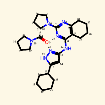 O=C([C@@H]1CCCN1c1nc2c(c(Nc3cc(C4CCCCC4)[nH]n3)n1)CCCC2)N1CCCC1